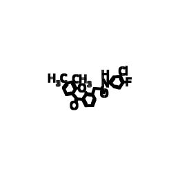 Cc1ccc2c(=O)c3cccc(CC(=O)Nc4ccc(F)c(Cl)c4)c3oc2c1C